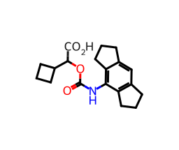 O=C(Nc1c2c(cc3c1CCC3)CCC2)OC(C(=O)O)C1CCC1